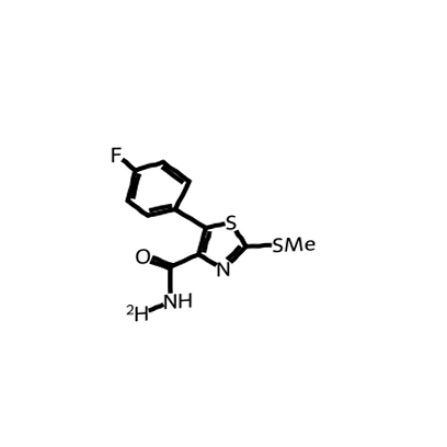 [2H]NC(=O)c1nc(SC)sc1-c1ccc(F)cc1